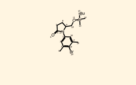 Cc1cc(N2C(=O)CCC2CO[Si](C)(C)C(C)(C)C)cc(C)c1Br